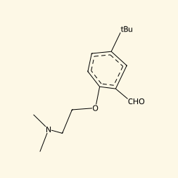 CN(C)CCOc1ccc(C(C)(C)C)cc1C=O